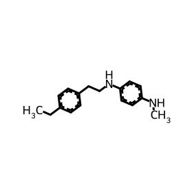 CCc1ccc(CCNc2ccc(NC)cc2)cc1